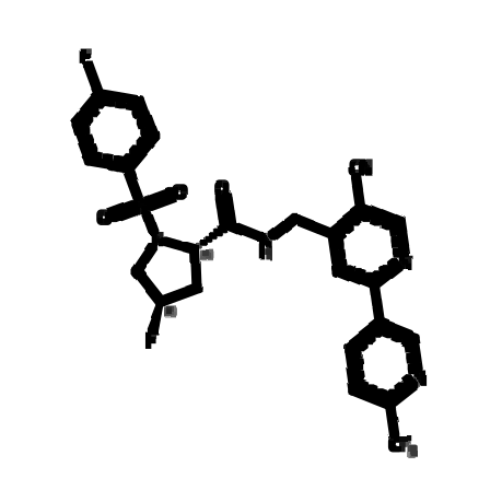 N#Cc1cnc(-c2ccc(C(F)(F)F)nc2)cc1CNC(=O)[C@@H]1C[C@@H](F)CN1S(=O)(=O)c1ccc(F)cc1